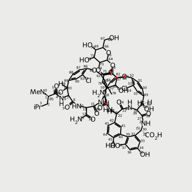 CN[C@H](CC(C)C)C(=O)NC1C(=O)NC(C(N)=O)C(=O)N[C@H]2C(=O)N[C@H]3C(=O)N[C@H](C(=O)N[C@H](C(=O)O)c4cc(O)cc(O)c4-c4cc3ccc4O)[C@H](O)c3ccc(c(Cl)c3)Oc3cc2cc(c3OC2OC(CO)C(O)C(O)C2OC2CC(C)(N)C(O)C(C)O2)Oc2ccc(cc2Cl)[C@H]1O